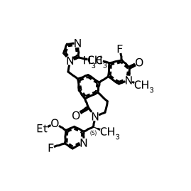 CCOc1cc([C@H](C)N2CCc3c(cc(Cn4ccnc4C)cc3-c3cn(C)c(=O)c(F)c3C)C2=O)ncc1F